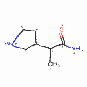 CC(C(N)=O)C1CCNC1